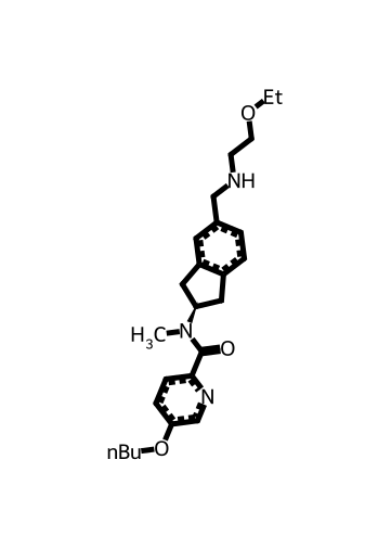 CCCCOc1ccc(C(=O)N(C)[C@@H]2Cc3ccc(CNCCOCC)cc3C2)nc1